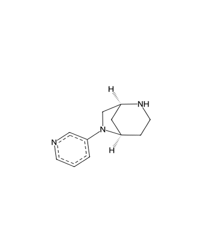 c1cncc(N2C[C@@H]3C[C@H]2CCN3)c1